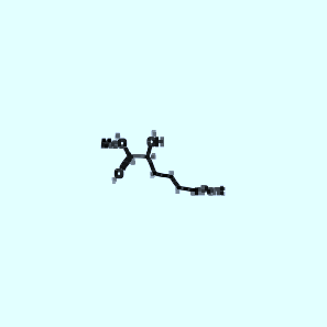 CCCCCCCCC(O)C(=O)OC